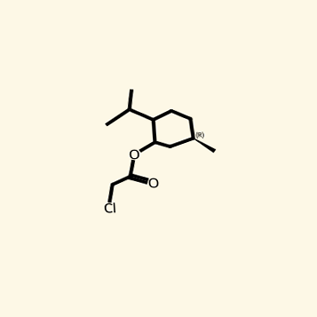 CC(C)C1CC[C@@H](C)CC1OC(=O)CCl